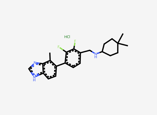 Cc1c(-c2ccc(CNC3CCC(C)(C)CC3)c(F)c2F)ccc2[nH]cnc12.Cl